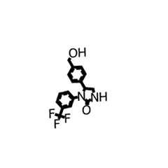 O=C1NCC(c2ccc(CO)cc2)N1c1cccc(C(F)(F)F)c1